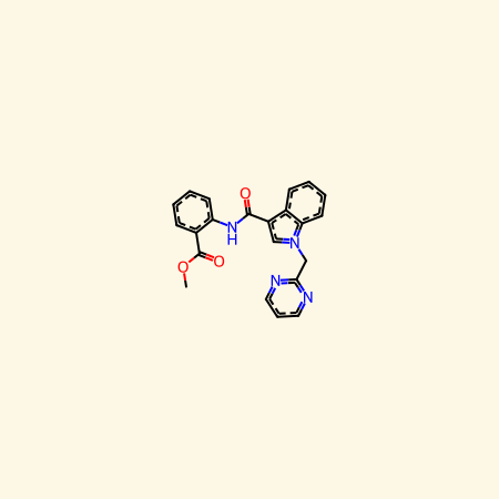 COC(=O)c1ccccc1NC(=O)c1cn(Cc2ncccn2)c2ccccc12